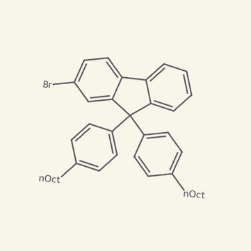 CCCCCCCCc1ccc(C2(c3ccc(CCCCCCCC)cc3)c3ccccc3-c3ccc(Br)cc32)cc1